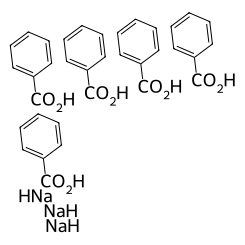 O=C(O)c1ccccc1.O=C(O)c1ccccc1.O=C(O)c1ccccc1.O=C(O)c1ccccc1.O=C(O)c1ccccc1.[NaH].[NaH].[NaH]